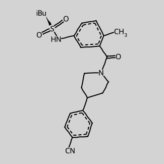 CC[C@H](C)S(=O)(=O)Nc1ccc(C)c(C(=O)N2CCC(c3ccc(C#N)cc3)CC2)c1